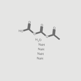 CC(=O)OC(=O)OC(=O)O.O.[NaH].[NaH].[NaH].[NaH]